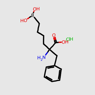 Cl.NC(CCCCB(O)O)(Cc1ccccc1)C(=O)O